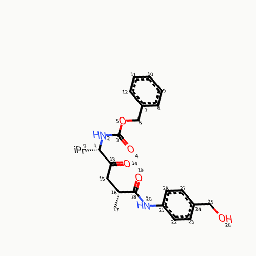 CC(C)[C@H](NC(=O)OCc1ccccc1)C(=O)C[C@@H](C)C(=O)Nc1ccc(CO)cc1